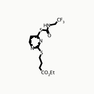 CCOC(=O)CCCSc1nccc(SC(=O)NCC(F)(F)F)n1